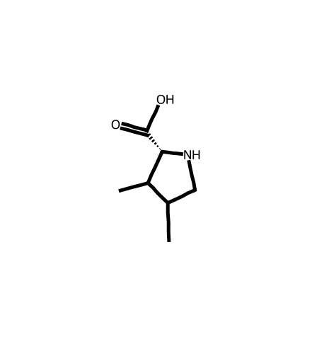 CC1CN[C@@H](C(=O)O)C1C